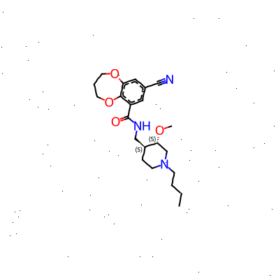 CCCCN1CC[C@@H](CNC(=O)c2cc(C#N)cc3c2OCCCO3)[C@H](OC)C1